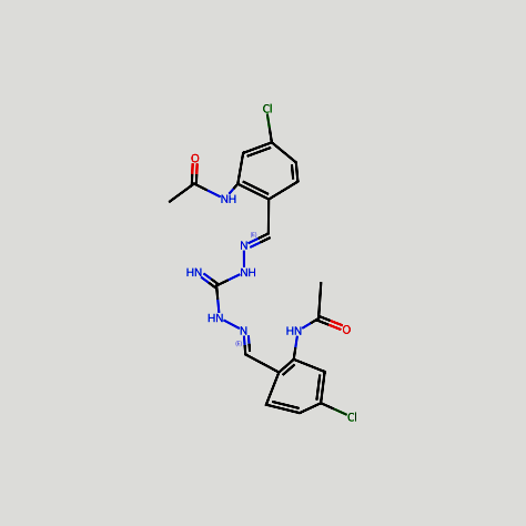 CC(=O)Nc1cc(Cl)ccc1/C=N/NC(=N)N/N=C/c1ccc(Cl)cc1NC(C)=O